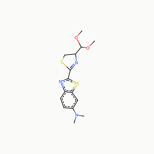 COC(OC)C1CSC(c2nc3ccc(N(C)C)cc3s2)=N1